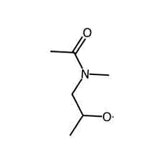 CC(=O)N(C)CC(C)[O]